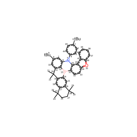 CC(C)(C)c1ccc(N2c3cc(C(C)(C)C)cc4c3B(c3cc5c(cc3C4(C)C)C(C)(C)CCC5(C)C)c3ccc4oc5ccccc5c4c32)cc1